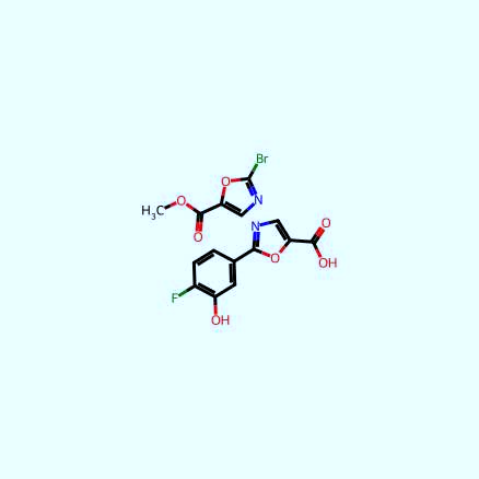 COC(=O)c1cnc(Br)o1.O=C(O)c1cnc(-c2ccc(F)c(O)c2)o1